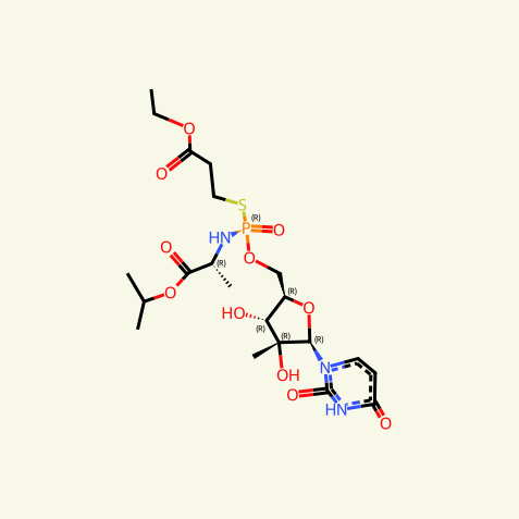 CCOC(=O)CCS[P@@](=O)(N[C@H](C)C(=O)OC(C)C)OC[C@H]1O[C@@H](n2ccc(=O)[nH]c2=O)[C@](C)(O)[C@@H]1O